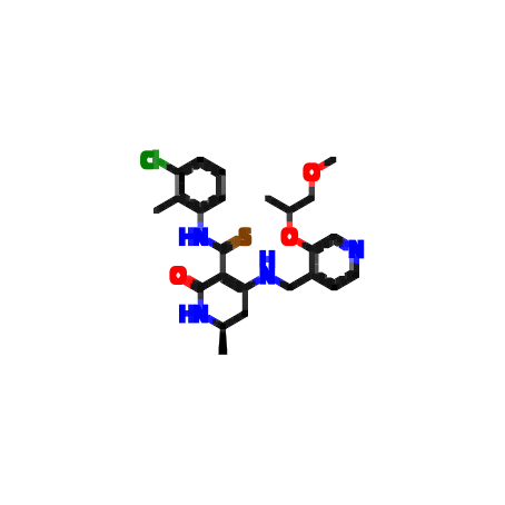 COCC(C)Oc1cnccc1CNC1=C(C(=S)Nc2cccc(Cl)c2C)C(=O)N[C@H](C)C1